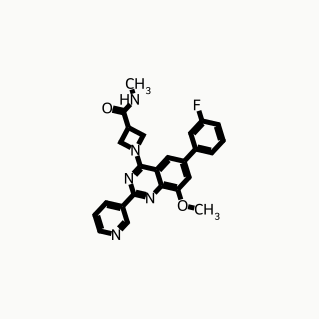 CNC(=O)C1CN(c2nc(-c3cccnc3)nc3c(OC)cc(-c4cccc(F)c4)cc23)C1